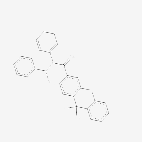 CC1(C)c2ccccc2Oc2cc(C(=N)N(C3=CCCC=C3)C(N)c3ccccc3)ccc21